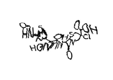 O=CNc1nc(C(=NO)C(=O)NC2C(=O)N3CC(Cl)(C(=O)O)CS[C@H]23)cs1